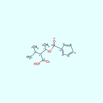 CC(C)C(C(=O)O)C(C)OC(=O)c1ccccc1